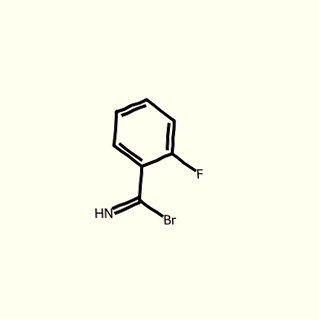 N=C(Br)c1ccccc1F